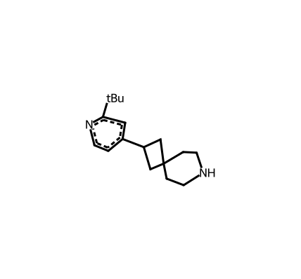 CC(C)(C)c1cc(C2CC3(CCNCC3)C2)ccn1